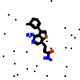 CNC(=O)C=Cc1cnc(N)c2c(-c3cccc(C)c3)csc12